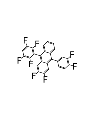 Fc1ccc(-c2c3ccccc3c(-c3c(F)c(F)cc(F)c3F)c3cc(F)c(F)cc23)cc1F